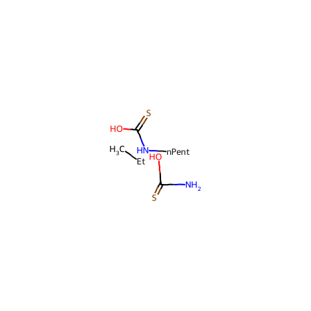 CCC.CCCCCNC(O)=S.NC(O)=S